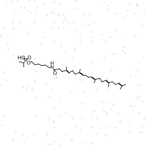 CC(C)=CCC/C(C)=C/CC/C(C)=C/CC/C=C(\C)CC/C=C(\C)CCC(=O)NCCCCCCOP(=O)(O)C(C)C